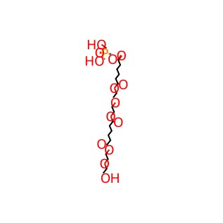 O=C(CCCCC(=O)OCCOCCOC(=O)CCCCC(=O)OCP(=O)(CO)CO)OCCOCCO